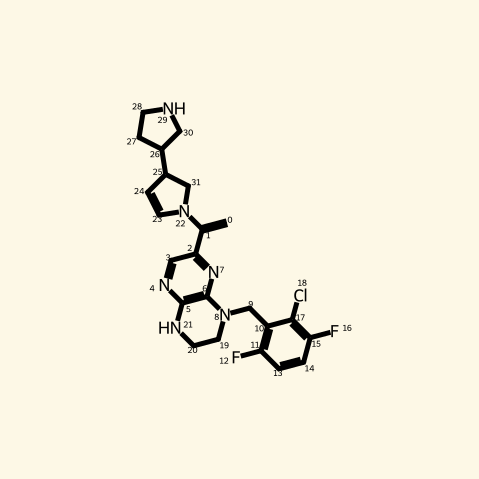 C=C(c1cnc2c(n1)N(Cc1c(F)ccc(F)c1Cl)CCN2)N1C=CC(C2CCNC2)C1